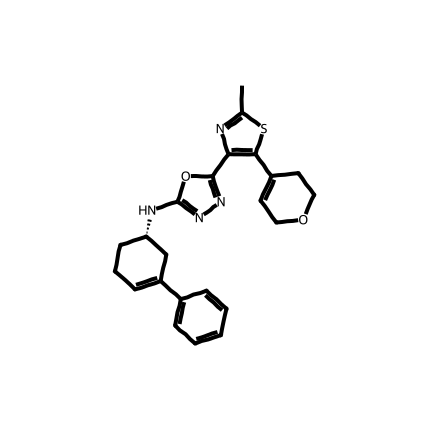 Cc1nc(-c2nnc(N[C@H]3CCC=C(c4ccccc4)C3)o2)c(C2=CCOCC2)s1